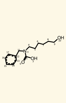 O=C(O)N(CCCCCCO)Cc1ccccc1